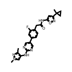 Cc1nn(C)cc1Nc1ncc(-c2ccc(CC(=O)Nc3cc(C4(C)CC4)no3)c(F)c2)cn1